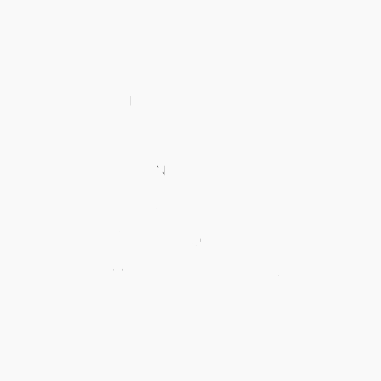 COc1ccc(I)nc1OCC1CC1